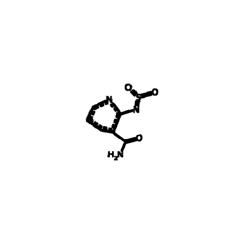 NC(=O)c1cccnc1N=S(=O)=O